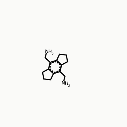 NCc1c2c(c(CN)c3c1CCC3)CCC2